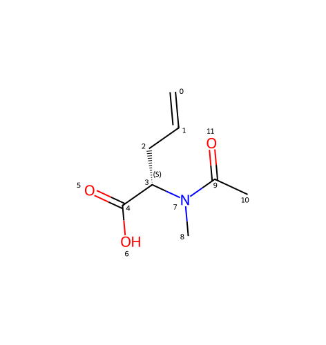 C=CC[C@@H](C(=O)O)N(C)C(C)=O